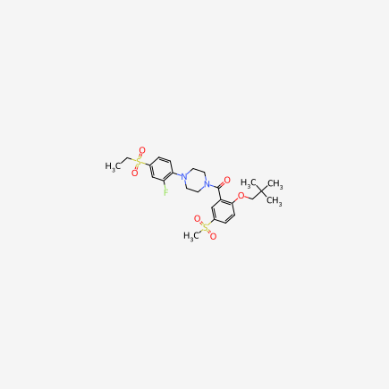 CCS(=O)(=O)c1ccc(N2CCN(C(=O)c3cc(S(C)(=O)=O)ccc3OCC(C)(C)C)CC2)c(F)c1